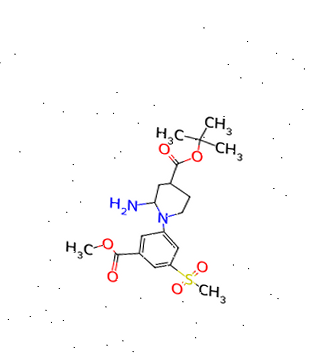 COC(=O)c1cc(N2CCC(C(=O)OC(C)(C)C)CC2N)cc(S(C)(=O)=O)c1